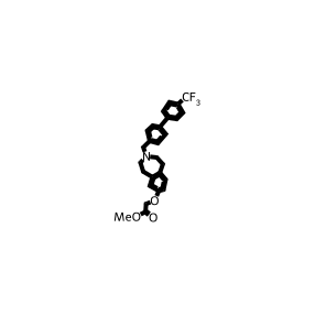 COC(=O)COc1ccc2c(c1)CCN(Cc1ccc(-c3ccc(C(F)(F)F)cc3)cc1)CC2